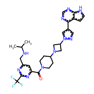 CC(C)NCc1cc(C(=O)N2CCC(N3CC(n4cc(-c5ncnc6[nH]ccc56)cn4)C3)CC2)nc(C(F)(F)F)n1